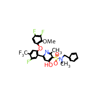 COc1c(Oc2cc(C(F)(F)F)c(F)cc2-c2cc(O)c(S(=O)(=O)N(C)Cc3ccccc3)c(C)n2)ccc(F)c1F